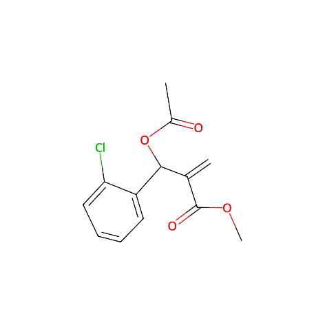 C=C(C(=O)OC)C(OC(C)=O)c1ccccc1Cl